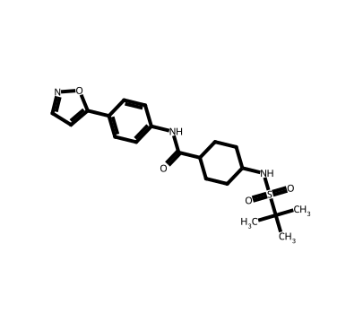 CC(C)(C)S(=O)(=O)NC1CCC(C(=O)Nc2ccc(-c3ccno3)cc2)CC1